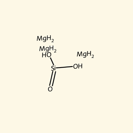 O=[Si](O)O.[MgH2].[MgH2].[MgH2]